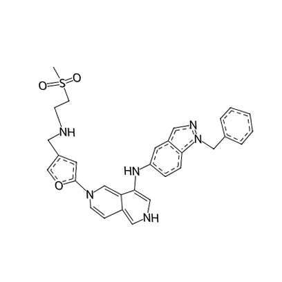 CS(=O)(=O)CCNCc1coc(N2C=CC3=CNC=C(Nc4ccc5c(cnn5Cc5ccccc5)c4)C3=C2)c1